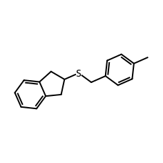 Cc1ccc(CSC2Cc3ccccc3C2)cc1